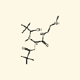 CNCCNC(=O)[C@H](CC(=O)C(C)(C)C)N(C)C(O)C(C)(C)C